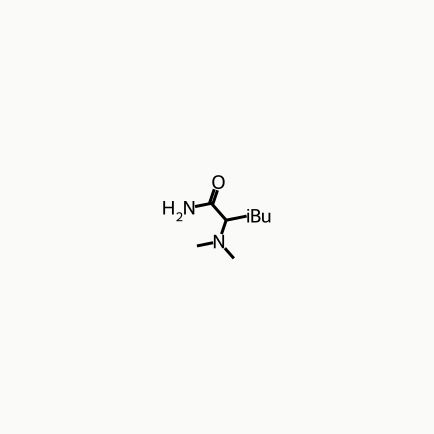 CCC(C)C(C(N)=O)N(C)C